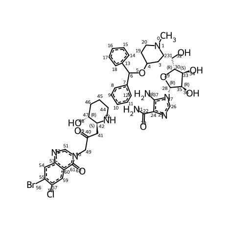 CN1CCC(OC(c2ccccc2)c2ccccc2)CC1.NC(=O)c1ncn([C@@H]2O[C@H](CO)[C@@H](O)[C@H]2O)c1N.O=C(C[C@@H]1NCCC[C@H]1O)Cn1cnc2cc(Br)c(Cl)cc2c1=O